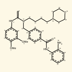 C=C(Nc1ccc(OC)c(OC)c1)N(CCCCN1CCOCC1)Cc1ccc(C(=O)Nc2ccccc2N)nc1